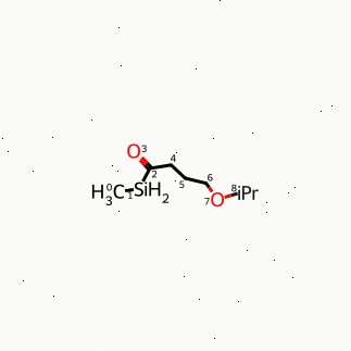 C[SiH2]C(=O)CCCOC(C)C